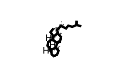 CC(C)CCC[C@@H](C)[C@H]1CC[C@H]2[C@@H]3CC[C@H]4CCCC[C@]4(C)C3=CC[C@]12C